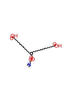 CCN(CC)CCCOC(=O)OCc1cc(CCCCCCC=CCC=CCCCCCCCC(=O)O)cc(CCCCCCC=CCC=CCCCCCCCC(=O)O)c1